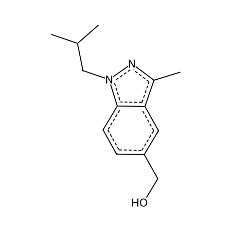 Cc1nn(CC(C)C)c2ccc(CO)cc12